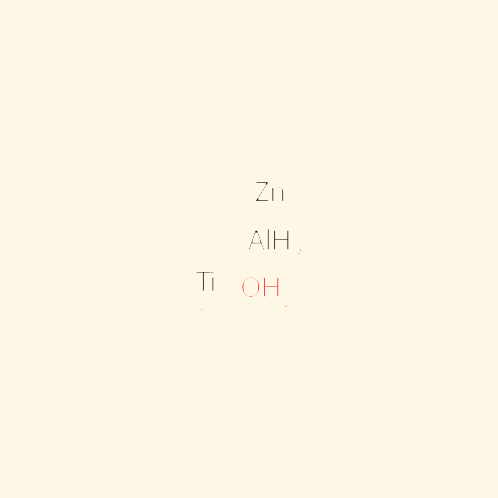 O.[AlH3].[Ti].[Zn]